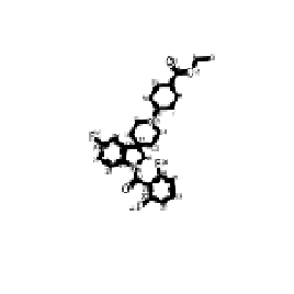 CCOC(=O)C1CCC(N2CCC3(CC2)CN(C(=O)c2c(F)cccc2F)c2ccc(F)cc23)CC1